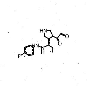 CCC(NNc1ccc(F)cc1)=C1CNCC1C(=O)C=O